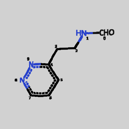 O=CNCCc1cccnn1